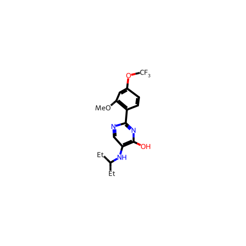 CCC(CC)Nc1cnc(-c2ccc(OC(F)(F)F)cc2OC)nc1O